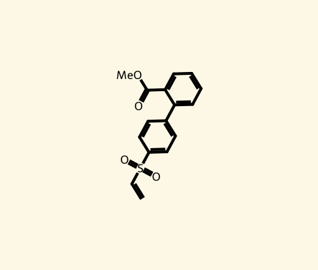 C=CS(=O)(=O)c1ccc(-c2ccccc2C(=O)OC)cc1